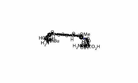 CCCCOc1nc(N)c2nc(O)n(Cc3ccc(C(=O)NCCCOCCOCCOCCCNC(=O)CCCOc4ccc(/C=C/C(=O)OC(=O)C(CCC(=O)O)NC(=O)C(NC(=O)CN)C(C)C)cc4OC)cc3)c2n1